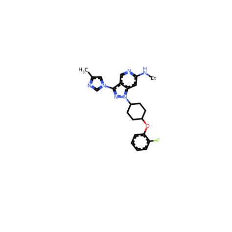 CCNc1cc2c(cn1)c(-n1cnc(C)c1)nn2C1CCC(Oc2ccccc2F)CC1